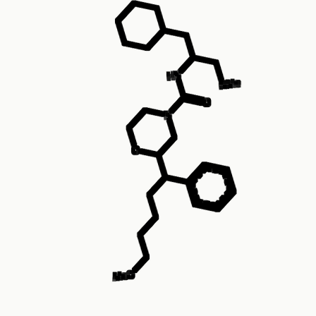 CNCC(CC1CCCCC1)NC(=O)N1CCOC(C(CCCCOC)c2ccccc2)C1